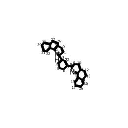 C1=CC(C2=CCCC(c3ccc4ccc5ccccc5c4n3)=C2)Nc2c1ccc1ccccc21